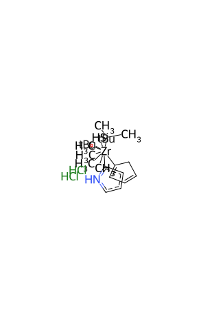 C[SiH](C)[Zr]([CH3])([CH3])([CH3])([CH3])([C]1=CC=CC1)([c]1ccc[nH]1)([C](C)(C)C)[C](C)(C)C.Cl.Cl